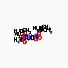 COC(=O)[C@H](Cc1ccc2c(c1)oc(=O)n2COCC[Si](C)(C)C)NC(=O)OC(C)(C)C